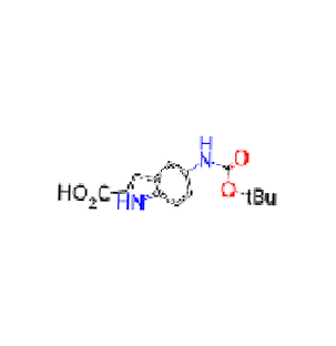 CC(C)(C)OC(=O)Nc1ccc2[nH]c(C(=O)O)cc2c1